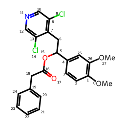 COc1ccc(C(Cc2c(Cl)cncc2Cl)OC(=O)Cc2ccccc2)cc1OC